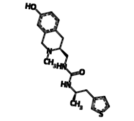 C[C@H](Cc1ccsc1)NC(=O)NC[C@@H]1Cc2ccc(O)cc2CN1C